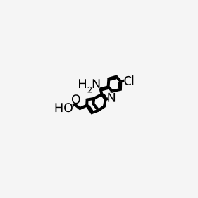 Nc1c2c(nc3cc(Cl)ccc13)CC1C=C(CC(=O)O)CC2C1